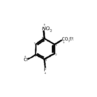 CCOC(=O)c1cc(F)c(Cl)cc1[N+](=O)[O-]